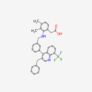 Cc1ccc(CC(=O)O)c(NCc2cccc(-c3c(Cc4ccccc4)cnc4c(C(F)(F)F)cccc34)c2)c1C